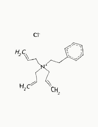 C=CC[N+](CC=C)(CC=C)CCc1ccccc1.[Cl-]